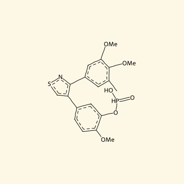 COc1ccc(-c2csnc2-c2cc(C)c(OC)c(OC)c2)cc1O[PH](=O)O